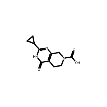 O=C(O)N1CCc2c(nc(C3CC3)[nH]c2=O)C1